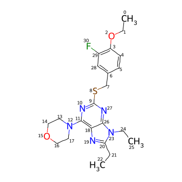 CCOc1ccc(CSc2nc(N3CCOCC3)c3nc(CC)n(CC)c3n2)cc1F